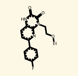 CCOCCn1c(=O)c(=O)[nH]c2ccc(-c3ccc(F)cc3)nc21